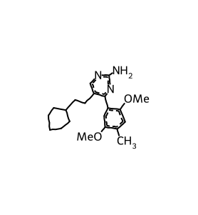 COc1cc(-c2nc(N)ncc2CCC2CCCCC2)c(OC)cc1C